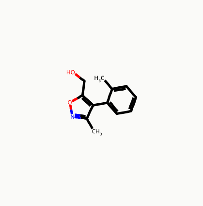 Cc1ccccc1-c1c(C)noc1CO